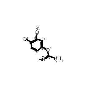 N=C(N)Oc1ccc(Cl)c(Cl)c1